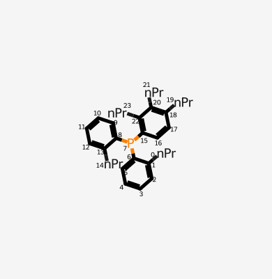 CCCc1ccccc1P(c1ccccc1CCC)c1ccc(CCC)c(CCC)c1CCC